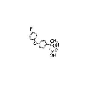 CC(O)(CC(=O)O)c1ccc(Oc2ccc(F)cc2)cc1